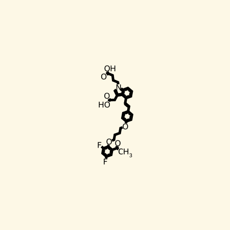 CC(=O)c1cc(F)cc(F)c1OCCCCOc1ccc(C=Cc2cccc3c2c(CC(=O)O)cn3CCCC(=O)O)cc1